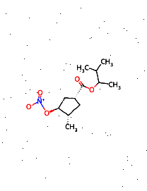 CC(C)C(C)OC(=O)[C@H]1C[C@H](O[N+](=O)[O-])[C@@H](C)C1